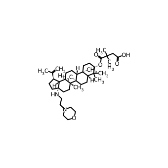 C=C(C)[C@@H]1CC[C@]2(NCCN3CCOCC3)CC[C@]3(C)[C@H](CC[C@@H]4[C@@]5(C)CC[C@H](OC(=O)C(C)(C)CC(=O)O)C(C)(C)[C@@H]5CC[C@]43C)[C@@H]12